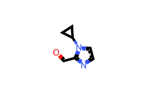 O=Cc1nccn1C1CC1